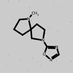 CN1CCCC12CCN(c1ncno1)C2